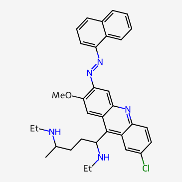 CCNC(C)CCC(NCC)c1c2cc(Cl)ccc2nc2cc(/N=N/c3cccc4ccccc34)c(OC)cc12